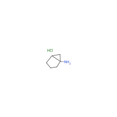 Cl.NC12CCCC1C2